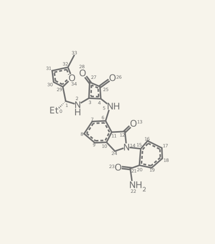 CC[C@@H](Nc1c(Nc2cccc3c2C(=O)N(c2ccccc2C(N)=O)C3)c(=O)c1=O)c1ccc(C)o1